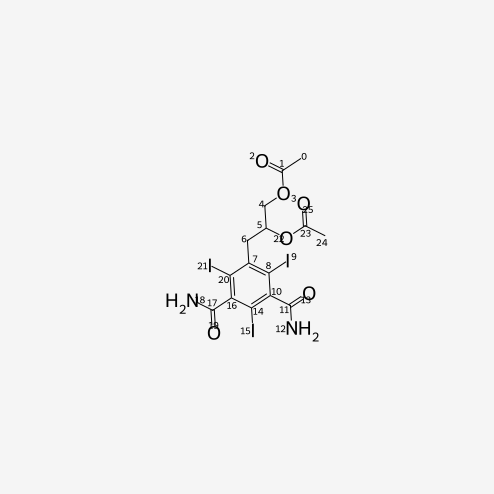 CC(=O)OCC(Cc1c(I)c(C(N)=O)c(I)c(C(N)=O)c1I)OC(C)=O